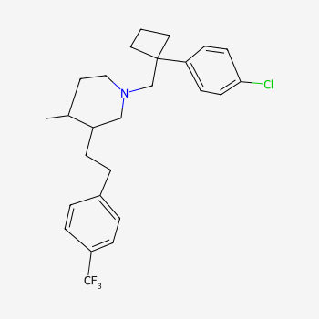 CC1CCN(CC2(c3ccc(Cl)cc3)CCC2)CC1CCc1ccc(C(F)(F)F)cc1